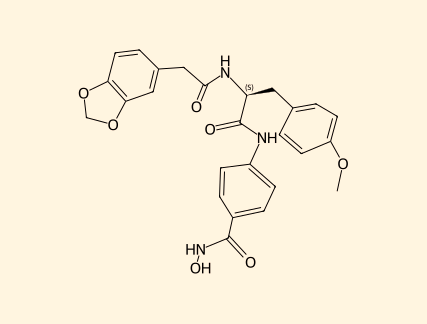 COc1ccc(C[C@H](NC(=O)Cc2ccc3c(c2)OCO3)C(=O)Nc2ccc(C(=O)NO)cc2)cc1